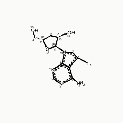 Nc1ncnc2c1c(I)cn2[C@H]1O[C@H](CO)C[C@H]1O